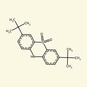 CC(C)(C)c1ccc2c(c1)S(=O)(=O)c1cc(C(C)(C)C)ccc1N2